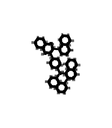 c1ccc2c(-c3nc4ccccc4nc3-c3ccc(N4c5c(ccc6ccccc56)-c5cccc6cccc4c56)cc3)cccc2c1